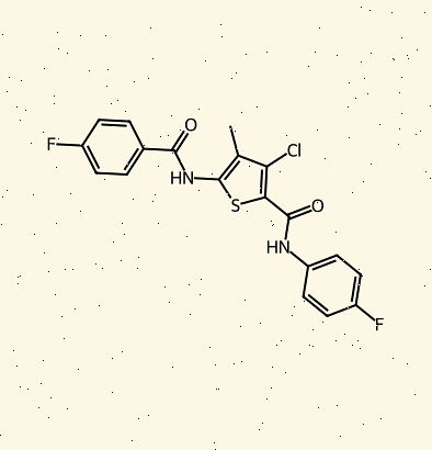 Cc1c(NC(=O)c2ccc(F)cc2)sc(C(=O)Nc2ccc(F)cc2)c1Cl